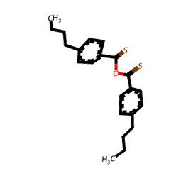 CCCCc1ccc(C(=S)OC(=S)c2ccc(CCCC)cc2)cc1